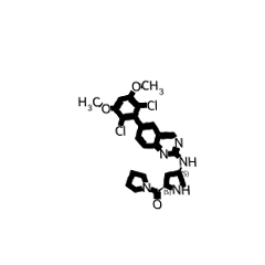 COc1cc(OC)c(Cl)c(-c2ccc3nc(N[C@@H]4CN[C@H](C(=O)N5CCCC5)C4)ncc3c2)c1Cl